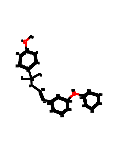 COc1ccc(C(C)(C)C/C=C/c2cccc(Oc3ccccc3)c2)cc1